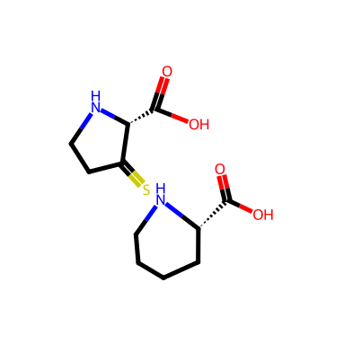 O=C(O)[C@@H]1CCCCN1.O=C(O)[C@H]1NCCC1=S